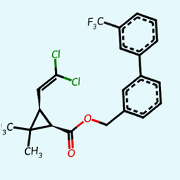 CC1(C)[C@H](C(=O)OCc2cccc(-c3cccc(C(F)(F)F)c3)c2)[C@@H]1C=C(Cl)Cl